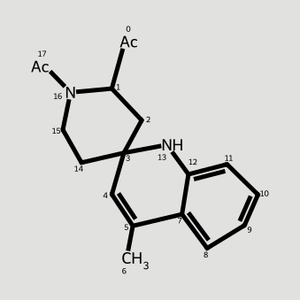 CC(=O)C1CC2(C=C(C)c3ccccc3N2)CCN1C(C)=O